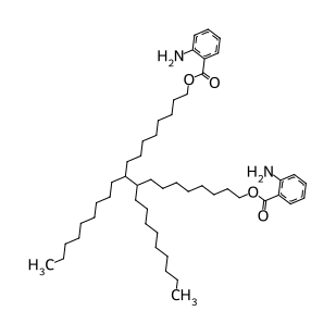 CCCCCCCCCC(CCCCCCCCOC(=O)c1ccccc1N)C(CCCCCCCCC)CCCCCCCCOC(=O)c1ccccc1N